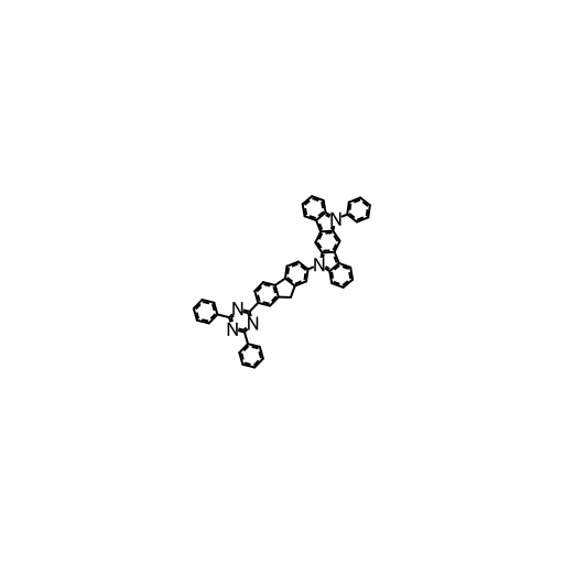 c1ccc(-c2nc(-c3ccccc3)nc(-c3ccc4c(c3)Cc3cc(-n5c6ccccc6c6cc7c(cc65)c5ccccc5n7-c5ccccc5)ccc3-4)n2)cc1